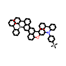 Cc1cccc2c1B(c1ccccc1-c1ccccc1)c1cc3c4cccc5c4c(cc3c3cccc-2c13)-c1ccc(N(c2ccc([Si](C)(C)C)cc2)c2ccccc2-c2ccccc2)cc1O5